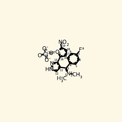 C[N+](C)=C(c1ccc(F)cc1)c1c[nH]nc1-c1ccc([N+](=O)[O-])o1.[O-][Cl+3]([O-])([O-])[O-]